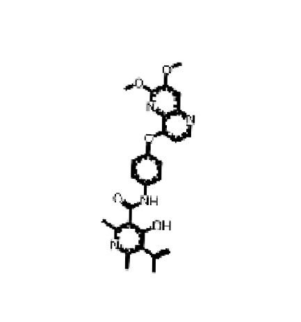 C=C(C)c1c(C)nc(C)c(C(=O)Nc2ccc(Oc3ccnc4cc(OC)c(OC)nc34)cc2)c1O